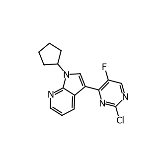 Fc1cnc(Cl)nc1-c1cn(C2CCCC2)c2ncccc12